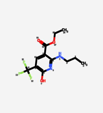 CCCNc1nc(O)c(C(F)(F)F)cc1C(=O)OCC